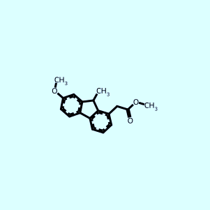 COC(=O)Cc1cccc2c1C(C)c1cc(OC)ccc1-2